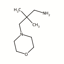 CC(C)(CN)CN1CCOCC1